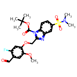 COc1cc(C=O)c(F)cc1OCc1nc2cc(S(=O)(=O)N(C)C)ccc2n1C(=O)OC(C)(C)C